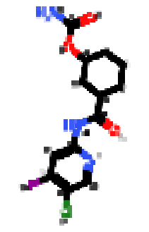 NC(=O)OC1CCCC(C(=O)Nc2cc(I)c(Cl)cn2)C1